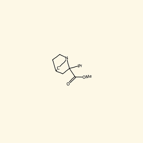 COC(=O)C1(C(C)C)CC2CCN1CC2